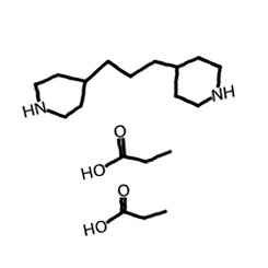 C(CC1CCNCC1)CC1CCNCC1.CCC(=O)O.CCC(=O)O